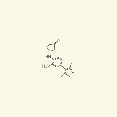 Cc1noc(C)c1-c1ccc(N[C@@H]2CCC(=O)C2)c(N)c1